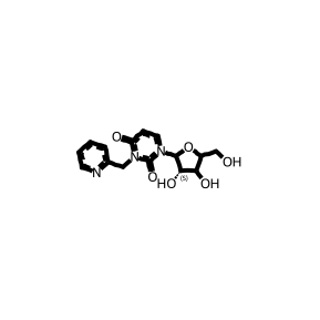 O=c1ccn(C2OC(CO)C(O)[C@@H]2O)c(=O)n1Cc1ccccn1